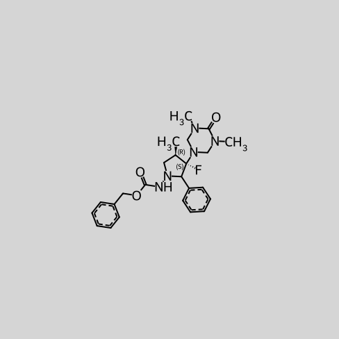 C[C@@H]1CN(NC(=O)OCc2ccccc2)C(c2ccccc2)[C@]1(F)N1CN(C)C(=O)N(C)C1